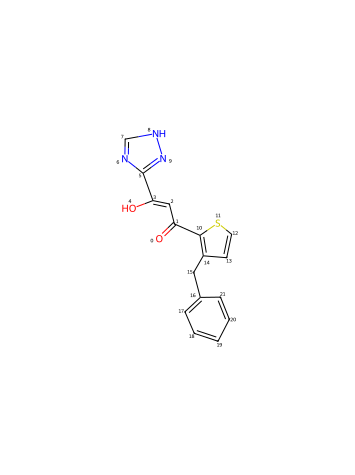 O=C(C=C(O)c1nc[nH]n1)c1sccc1Cc1ccccc1